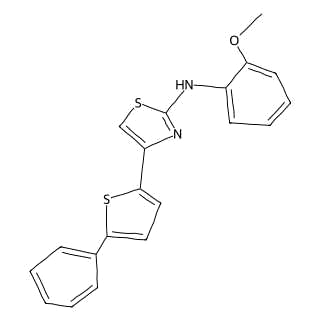 COc1ccccc1Nc1nc(-c2ccc(-c3ccccc3)s2)cs1